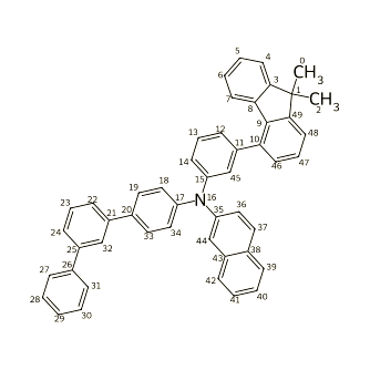 CC1(C)c2ccccc2-c2c(-c3cccc(N(c4ccc(-c5cccc(-c6ccccc6)c5)cc4)c4ccc5ccccc5c4)c3)cccc21